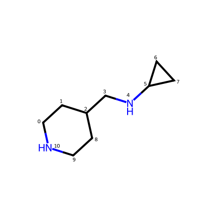 C1CC(CNC2CC2)CCN1